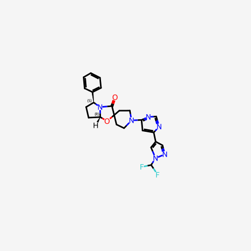 O=C1N2[C@@H](CC[C@H]2c2ccccc2)OC12CCN(c1cc(-c3cnn(C(F)F)c3)ncn1)CC2